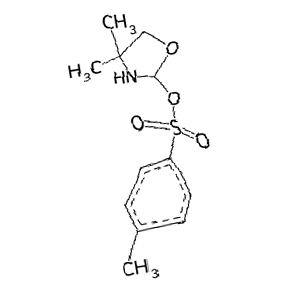 Cc1ccc(S(=O)(=O)OC2NC(C)(C)CO2)cc1